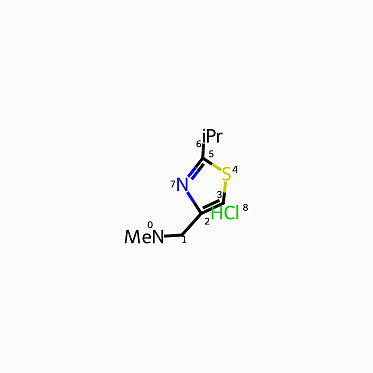 CNCc1csc(C(C)C)n1.Cl